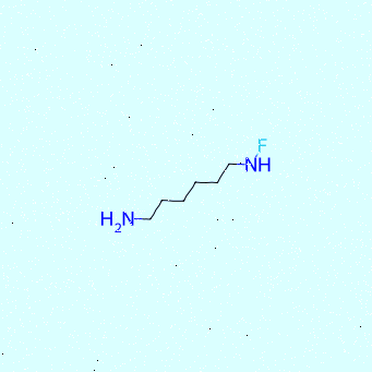 NCCCCCCNF